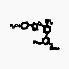 CNSc1cc(OC(C)C)cc(-c2cnc(N)c(Oc3cnn(C4CCN(C)CC4)c3)n2)c1